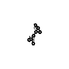 c1ccc(-c2nc(-c3ccc(-c4ccc5c(c4)c4ccccc4c4ccc6c7ccccc7oc6c45)cc3)nc3ccccc23)cc1